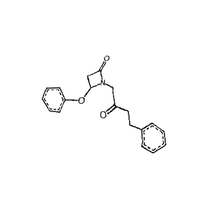 O=C(CCc1ccccc1)CN1C(=O)CC1Oc1ccccc1